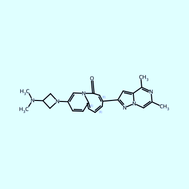 Cc1cn2nc(C3=C\C(=O)N4C=C(N5CC(N(C)C)C5)C=C\C4=C/C=C/3)cc2c(C)n1